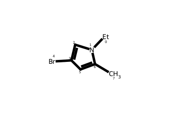 CCn1cc(Br)cc1C